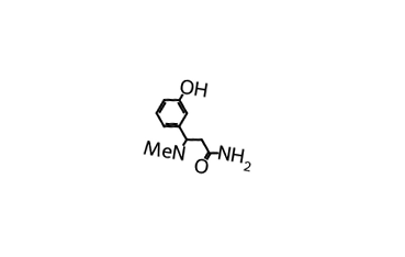 CNC(CC(N)=O)c1cccc(O)c1